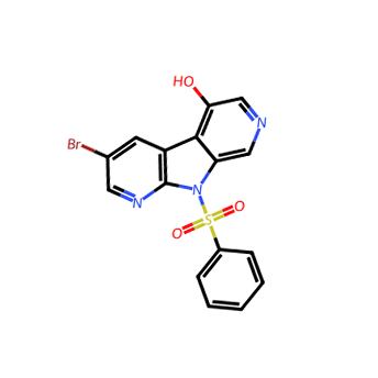 O=S(=O)(c1ccccc1)n1c2cncc(O)c2c2cc(Br)cnc21